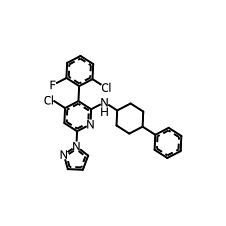 Fc1cccc(Cl)c1-c1c(Cl)cc(-n2cccn2)nc1NC1CCC(c2ccccc2)CC1